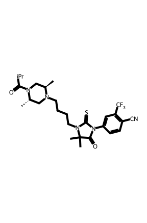 CC(C)C(=O)N1C[C@@H](C)N(CCCCN2C(=S)N(c3ccc(C#N)c(C(F)(F)F)c3)C(=O)C2(C)C)C[C@@H]1C